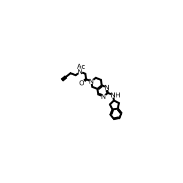 C#CCCN(CC(=O)N1CCc2nc(NC3Cc4ccccc4C3)ncc2C1)C(C)=O